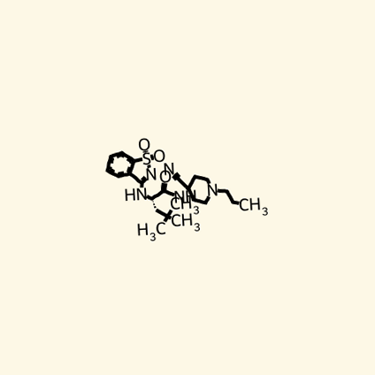 CCCN1CCC(C#N)(NC(=O)[C@H](CC(C)(C)C)NC2=NS(=O)(=O)c3ccccc32)CC1